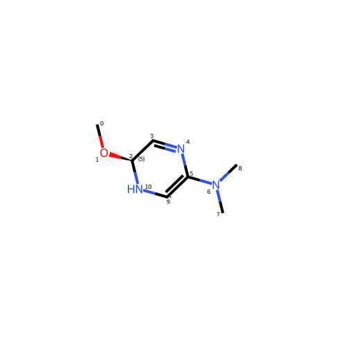 CO[C@H]1C=NC(N(C)C)=[C]N1